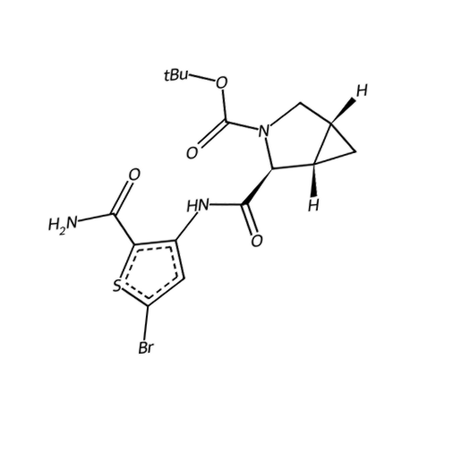 CC(C)(C)OC(=O)N1C[C@@H]2C[C@@H]2[C@H]1C(=O)Nc1cc(Br)sc1C(N)=O